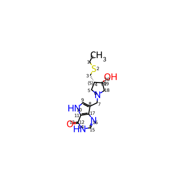 CCSC[C@H]1CN(Cc2c[nH]c3c(=O)[nH]cnc23)C[C@@H]1O